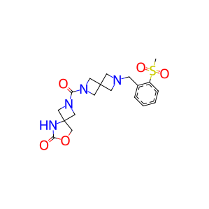 CS(=O)(=O)c1ccccc1CN1CC2(C1)CN(C(=O)N1CC3(COC(=O)N3)C1)C2